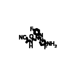 CC(CC#N)NC(=O)Cn1c(N2CC[C@@H](F)[C@H](N)C2)nc2ccc(F)cc21